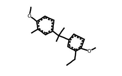 CCc1cc(C(C)(C)c2ccc(OC)c(C)c2)ccc1OC